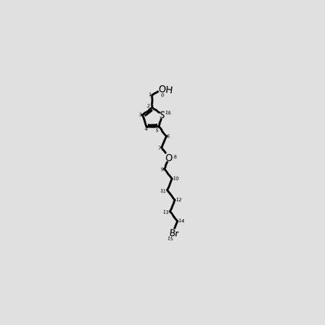 OCc1ccc(CCOCCCCCCBr)s1